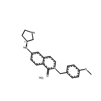 COc1ccc(Cn2ccc3cc(N[C@H]4CCNC4)ccc3c2=O)cc1.Cl